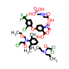 C=CCN(CC=C)C(=O)C(Cl)Cl.CCOCN(C(=O)CCl)c1c(C)cccc1CC.O=C(O)CNCP(=O)(O)O.O=C(O)c1cc(Oc2ccc(C(F)(F)F)cc2Cl)ccc1[N+](=O)[O-]